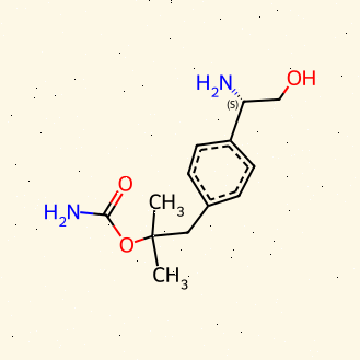 CC(C)(Cc1ccc([C@H](N)CO)cc1)OC(N)=O